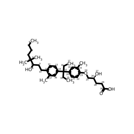 CCCCC(C)(C)C(O)CCc1ccc(C(CC)(CC)c2ccc(OC[C@@H](O)CCC(=O)O)c(C)c2)cc1C